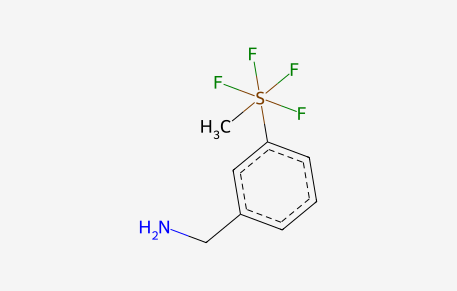 CS(F)(F)(F)(F)c1cccc(CN)c1